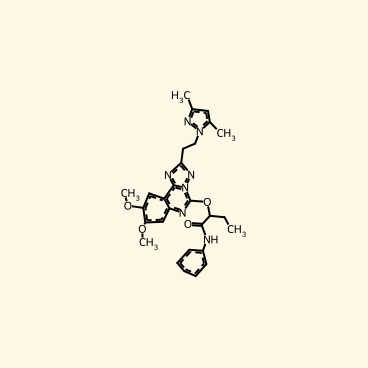 CCC(Oc1nc2cc(OC)c(OC)cc2c2nc(CCn3nc(C)cc3C)nn12)C(=O)Nc1ccccc1